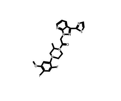 COc1cc(N2CCN(C(=O)Cn3nc(-c4nccs4)c4cccnc43)C(C)C2)c(F)cc1I